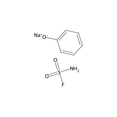 NS(=O)(=O)F.[Na+].[O-]c1ccccc1